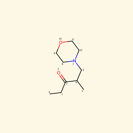 CCC(=O)C(C)CN1CCOCC1